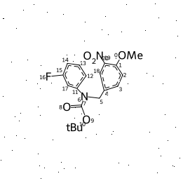 COc1ccc(CN(C(=O)OC(C)(C)C)c2cccc(F)c2)cc1[N+](=O)[O-]